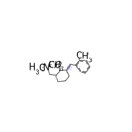 Cc1ccccc1/C=C1\CCCC(CN(C)C)C1=O